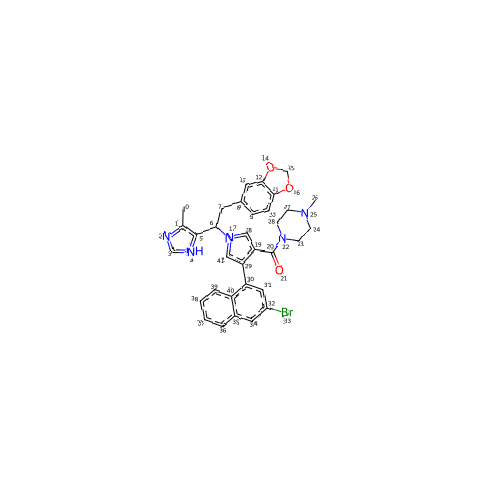 Cc1nc[nH]c1C(Cc1ccc2c(c1)OCO2)n1cc(C(=O)N2CCN(C)CC2)c(-c2cc(Br)cc3ccccc23)c1